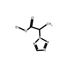 CCOC(=O)C(C)n1ncnn1